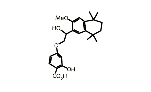 COc1cc2c(cc1C(O)COc1ccc(C(=O)O)c(O)c1)C(C)(C)CCC2(C)C